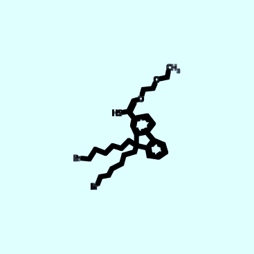 CCOCCO/C=C(/S)c1ccc2c(c1)C(CCCCCCBr)(CCCCCCBr)c1ccccc1-2